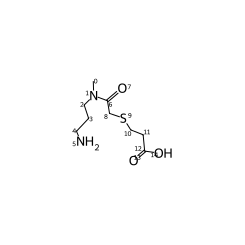 CN(CCCN)C(=O)CSCCC(=O)O